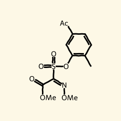 CON=C(C(=O)OC)S(=O)(=O)Oc1cc(C(C)=O)ccc1C